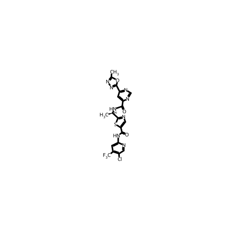 Cc1nnc(-c2cc(C(=O)N[C@H](C)c3ncc(C(=O)Nc4cc(C(F)(F)F)c(Cl)cn4)s3)ncn2)o1